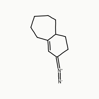 [N-]=[N+]=C1C=C2CCCCCC2CC1